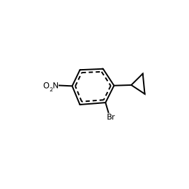 O=[N+]([O-])c1ccc(C2CC2)c(Br)c1